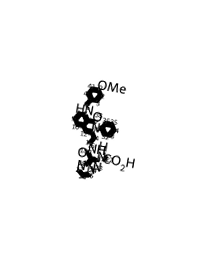 COc1ccc(CNc2cccc3cc(CCNC(=O)c4c(NC(=O)O)nn5cccnc45)n(-c4ccccc4)c(=O)c23)cc1